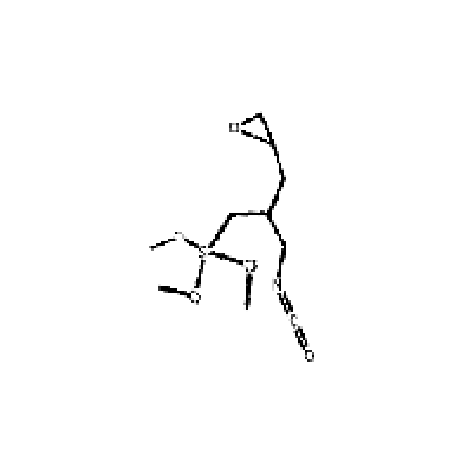 CO[Si](CC(CN=C=O)CC1CO1)(OC)OC